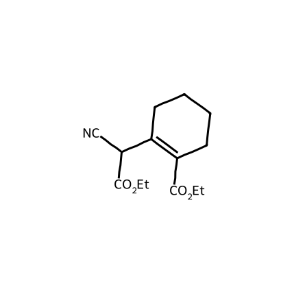 CCOC(=O)C1=C(C(C#N)C(=O)OCC)CCCC1